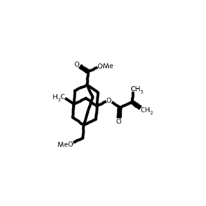 C=C(C)C(=O)OC12CC3(C)CC(COC)(C1)CC(C(=O)OC)(C3)C2